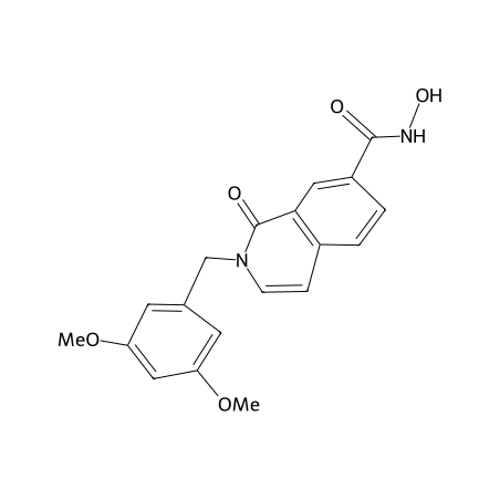 COc1cc(Cn2ccc3ccc(C(=O)NO)cc3c2=O)cc(OC)c1